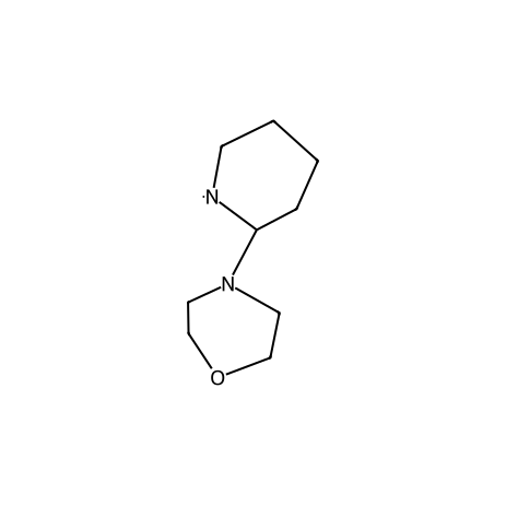 C1CCC(N2CCOCC2)[N]C1